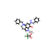 Cn1cc2c3c1C(=O)C(NCc1ccccc1)=CC3=[N+](Cc1ccccc1)CC2.O=C([O-])C(F)(F)F